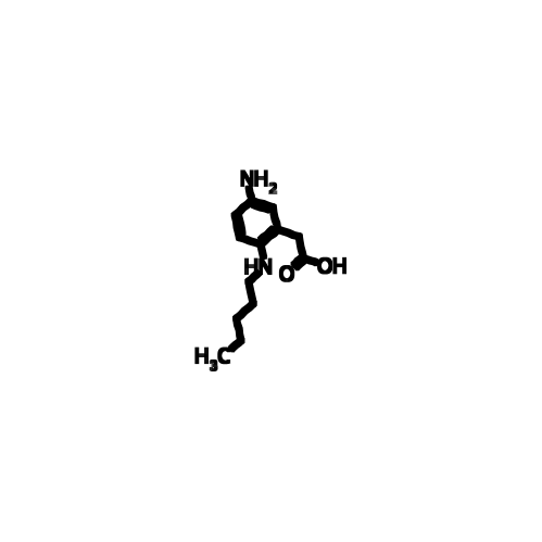 CCCCCNc1ccc(N)cc1CC(=O)O